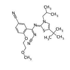 COCCOc1ccc(C#N)cc1C(/N=c1\sc(C(C)(C)C)cn1CC(C)C)=N\C#N